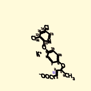 CC(/C=C/C(=O)[O-])Oc1ccc(Oc2ncc(Cl)cc2Cl)cc1.[K+]